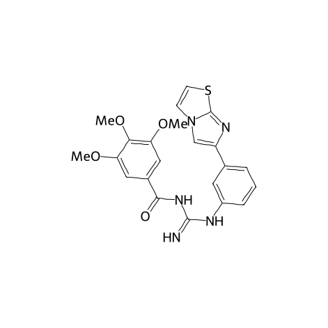 COc1cc(C(=O)NC(=N)Nc2cccc(-c3cn4ccsc4n3)c2)cc(OC)c1OC